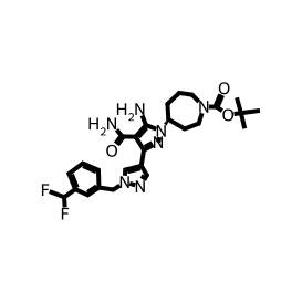 CC(C)(C)OC(=O)N1CCC[C@H](n2nc(-c3cnn(Cc4cccc(C(F)F)c4)c3)c(C(N)=O)c2N)CC1